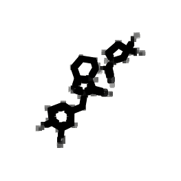 O=C([C@H]1CCCc2nn(Cc3ccc(F)c(Cl)c3)c(=O)n21)N1CCC(F)(F)C1